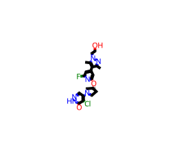 Cc1nn(CCO)c(C)c1-c1cc(F)nc(O[C@@H]2CCN(c3cn[nH]c(=O)c3Cl)C2)c1